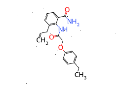 C=CCc1cccc(C(N)=O)c1NC(=O)COc1ccc(CC)cc1